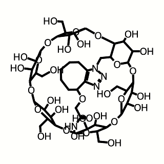 O=C(COC1CCCCCc2c1nnn2CC1OC2OC3C(CO)OC(OC4C(CO)OC(OC5C(CO)OC(OC6C(CO)OC(OC7C(CO)OC(OC1C(O)C2O)C(O)C7O)C(O)C6O)C(O)C5O)C(O)C4O)C(O)C3O)NO